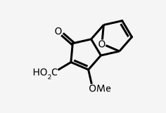 COC1=C(C(=O)O)C(=O)C2C3C=CC(O3)C12